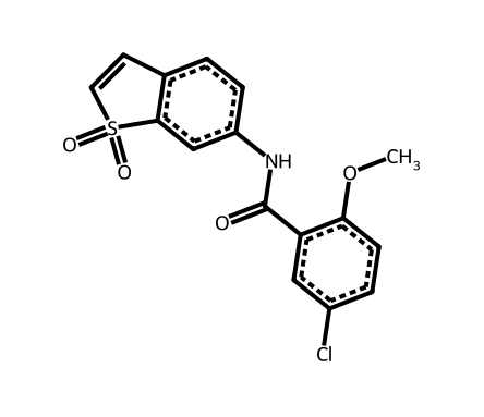 COc1ccc(Cl)cc1C(=O)Nc1ccc2c(c1)S(=O)(=O)C=C2